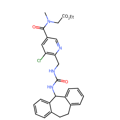 CCOC(=O)CN(C)C(=O)c1cnc(CNC(=O)NC2c3ccccc3CCc3ccccc32)c(Cl)c1